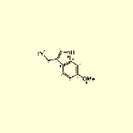 COc1ccc2c(CC(C)C)c[nH]c2c1